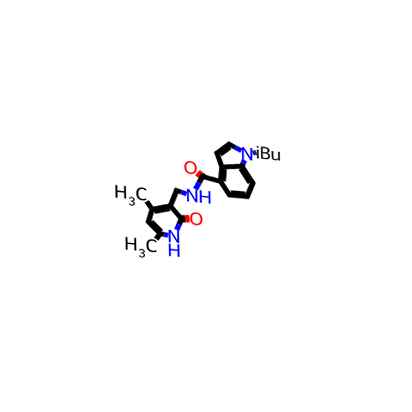 CCC(C)n1ccc2c(C(=O)NCc3c(C)cc(C)[nH]c3=O)cccc21